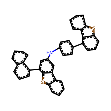 c1ccc2c(-c3cc(Nc4ccc(-c5cccc6sc7ccccc7c56)cc4)cc4c3sc3ccccc34)cccc2c1